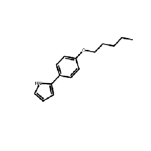 CCCCCOc1ccc(-c2ccc[nH]2)cc1